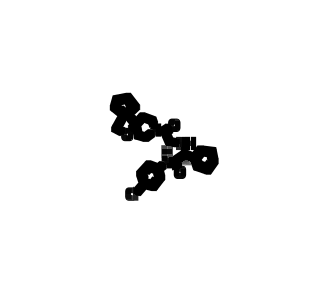 O=C(Nc1ccc(Cl)cc1)[C@H](NCC(=O)N1CCC2(CC1)OCc1ccccc12)c1ccccc1